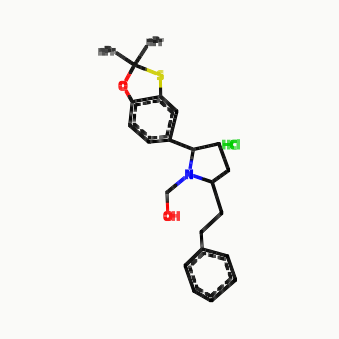 CCCC1(CCC)Oc2ccc(C3CCC(CCc4ccccc4)N3CO)cc2S1.Cl